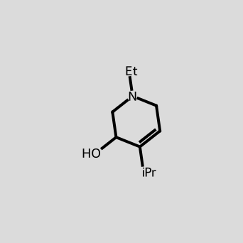 CCN1CC=C(C(C)C)C(O)C1